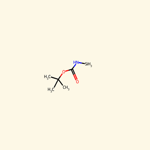 CC(C)(C)OC(=O)N[SiH3]